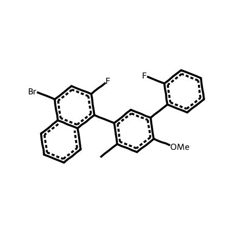 COc1cc(C)c(-c2c(F)cc(Br)c3ccccc23)cc1-c1ccccc1F